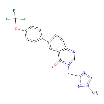 Cn1cnc(Cn2cnc3ccc(-c4ccc(OC(F)(F)F)cc4)cc3c2=O)n1